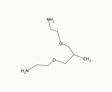 CC(COCCN)COCCN